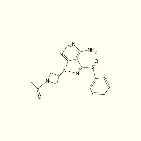 CC(=O)N1CC(n2nc([S+]([O-])c3ccccc3)c3c(N)ncnc32)C1